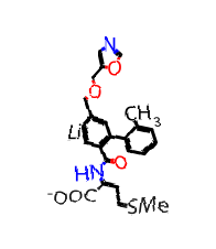 CSCC[C@H](NC(=O)c1ccc(COCc2cnco2)cc1-c1ccccc1C)C(=O)[O-].[Li+]